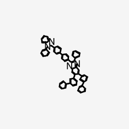 c1ccc(-c2cccc(-c3cc4nc(-c5ccccc5)c(-c5ccc(-c6ccc(-c7nc8ccccc8n7-c7ccccc7)cc6)cc5)nc4cc3-c3cccc(-c4ccccc4)c3)c2)cc1